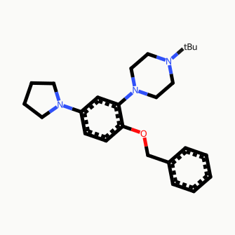 CC(C)(C)N1CCN(c2cc(N3CCCC3)ccc2OCc2ccccc2)CC1